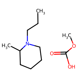 CCCN1CCCCC1C.COC(=O)O